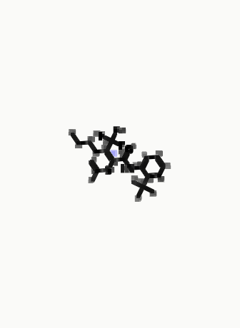 C=C(C)S/C(C(=O)Nc1ccccc1C(C)(C)C)=C(\CCCC)C(F)(F)F